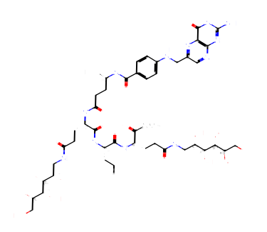 CNC(=O)[C@H](CCC(=O)NC[C@H](O)[C@@H](O)[C@H](O)[C@H](O)CO)NC(=O)[C@H](CCC(=O)O)NC(=O)[C@H](CCC(=O)NC[C@H](O)[C@@H](O)[C@H](O)[C@H](O)CO)NC(=O)CC[C@@H](C)NC(=O)c1ccc(NCc2cnc3nc(N)[nH]c(=O)c3n2)cc1